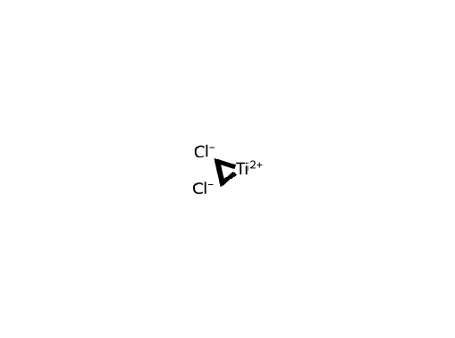 [CH2]1[CH2][Ti+2]1.[Cl-].[Cl-]